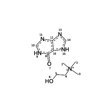 C[N+](C)(C)CCO.O=c1[nH]cnc2nc[nH]c12